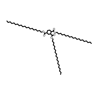 CCCCCCCCCCCCCCCCCCCCOC(=O)C1CCC(C(=O)OCCCCCCCCCCCCCCCCCCCC)C(C(=O)OCCCCCCCCCCCCCCCCCCCC)C1